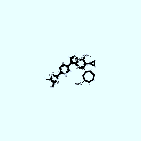 CN[C@@H]1CCCC[C@H](c2nc3c(-c4ccc(-c5nc(C)c(C)[nH]5)nc4)cnn3c(N)c2C2CC2)C1